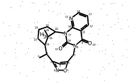 CC1c2cc(on2)Cn2c(=O)c3cccnc3n(c2=O)C2CCCC1[C@H]2C